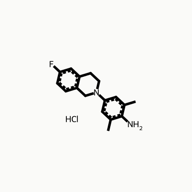 Cc1cc(N2CCc3cc(F)ccc3C2)cc(C)c1N.Cl